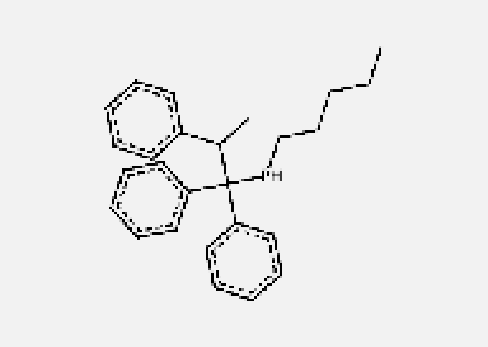 CCCCCPC(c1ccccc1)(c1ccccc1)C(C)c1ccccc1